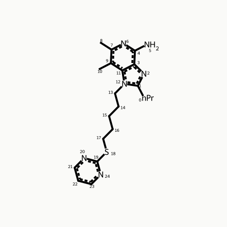 CCCc1nc2c(N)nc(C)c(C)c2n1CCCCCSc1ncccn1